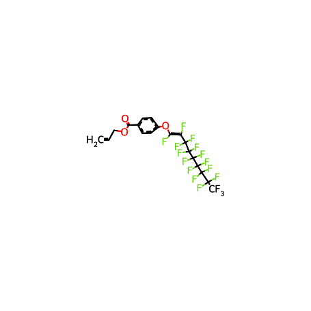 C=CCOC(=O)c1ccc(OC(F)=C(F)C(F)(F)C(F)(F)C(F)(F)C(F)(F)C(F)(F)C(F)(F)C(F)(F)F)cc1